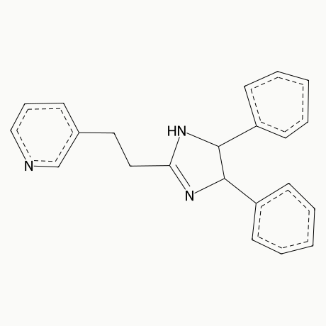 c1ccc(C2N=C(CCc3cccnc3)NC2c2ccccc2)cc1